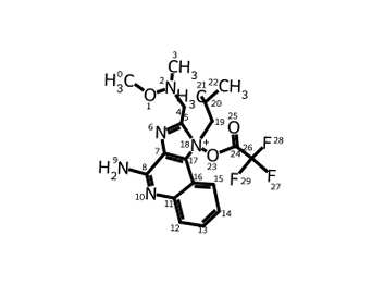 CON(C)CC1=Nc2c(N)nc3ccccc3c2[N+]1(CC(C)C)OC(=O)C(F)(F)F